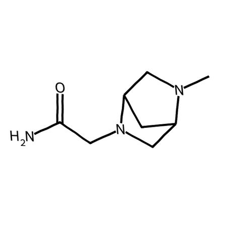 CN1CC2CC1CN2CC(N)=O